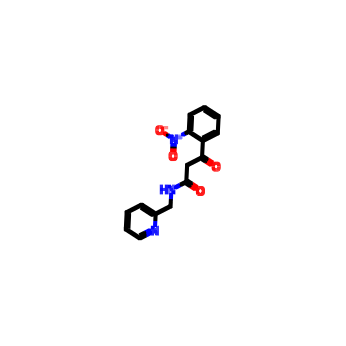 O=C(CC(=O)c1ccccc1[N+](=O)[O-])NCc1ccccn1